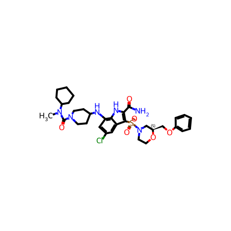 CN(C(=O)N1CCC(Nc2cc(Cl)cc3c(S(=O)(=O)N4CCO[C@H](COc5ccccc5)C4)c(C(N)=O)[nH]c23)CC1)C1CCCCC1